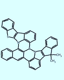 CC1(C)c2ccccc2-c2c1c1cccc3c1n2B1c2c-3cc3ccccc3c2-n2c3sc4ccccc4c3c3cccc1c32